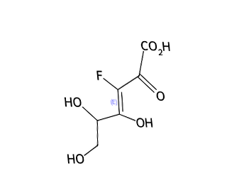 O=C(O)C(=O)/C(F)=C(\O)C(O)CO